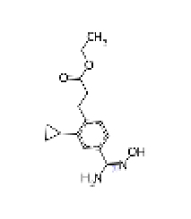 CCOC(=O)CCc1ccc(/C(N)=N\O)cc1C1CC1